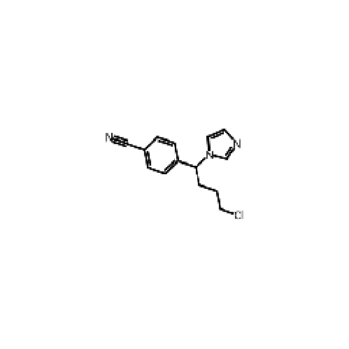 N#Cc1ccc(C(CCCCl)n2ccnc2)cc1